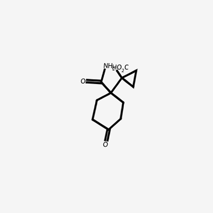 NC(=O)C1(C2(C(=O)O)CC2)CCC(=O)CC1